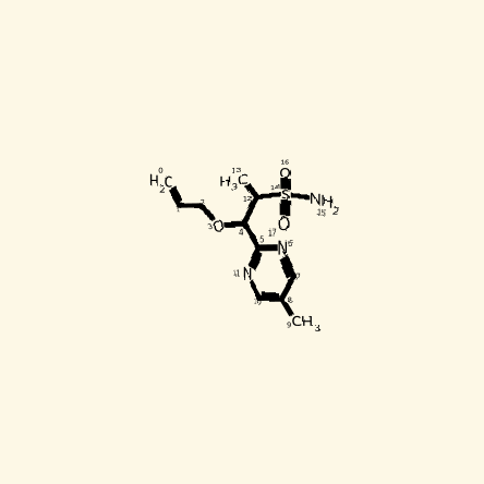 C=CCOC(c1ncc(C)cn1)C(C)S(N)(=O)=O